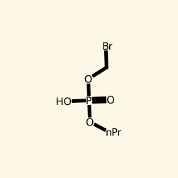 CCCOP(=O)(O)OCBr